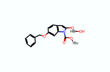 CC(C)(C)OC(=O)n1c(OBO)cc2ccc(OCc3ccccc3)cc21